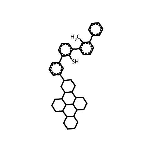 Cc1c(-c2ccccc2)cccc1-c1cccc(-c2cccc(C3CCC4C(C3)C3CCCC5C6CCCCC6C6CCCC4C6C53)c2)c1S